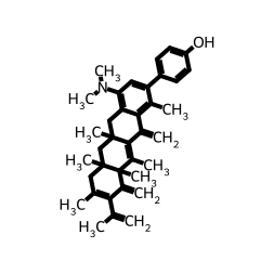 C=C(C)C1=C(C)CC2(C)CC3(C)Cc4c(N(C)C)cc(-c5ccc(O)cc5)c(C)c4C(=C)C3=C(C)C2(C)C1=C